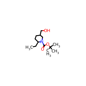 CCC1CCC(CO)CN1C(=O)OC(C)(C)C